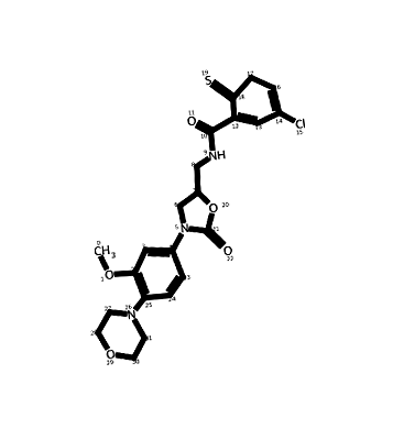 COc1cc(N2CC(CNC(=O)C3=CC(Cl)=CCC3=S)OC2=O)ccc1N1CCOCC1